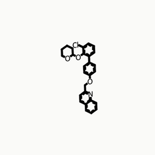 Clc1cccc(-c2ccc(OCc3ccc4ccccc4n3)cc2)c1OC1CCCCO1